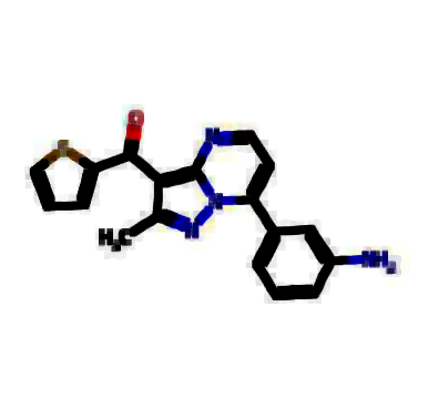 Cc1nn2c(-c3cccc(N)c3)ccnc2c1C(=O)c1cccs1